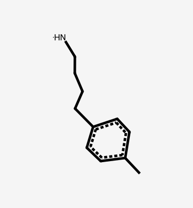 Cc1ccc(CCCC[NH])cc1